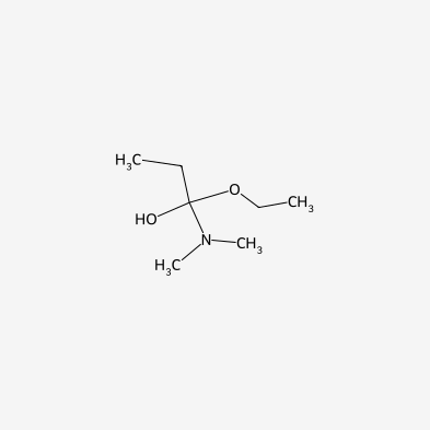 CCOC(O)(CC)N(C)C